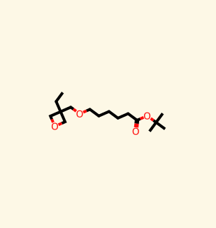 CCC1(COCCCCCC(=O)OC(C)(C)C)COC1